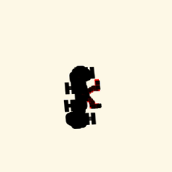 CCCCC/C=C\C/C=C\CCCCCCCCC1(CCCCCCCC/C=C\C/C=C\CCCCC)OC[C@H](CN(CCCCCC(=O)NCCOCCOCCO[C@H](OC(C)COC(C)=O)C(NC(C)=O)C(OC(C)=O)OC(C)=O)CCCCCC(=O)NCCOCCOCCO[C@@H]2OC(COC(C)=O)[C@H](OC(C)=O)C(OC(C)=O)C2NC(C)=O)O1